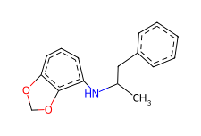 CC(Cc1ccccc1)Nc1cccc2c1OCO2